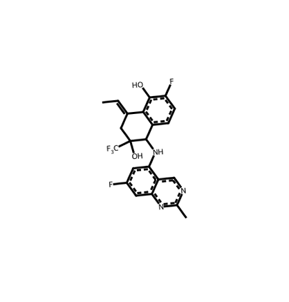 CC=C1CC(O)(C(F)(F)F)C(Nc2cc(F)cc3nc(C)ncc23)c2ccc(F)c(O)c21